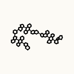 c1cc(-c2ccc3c(-c4c5ccccc5c(-c5ccc6cc(-c7ccc8cc(-c9c%10ccccc%10c(-c%10cccc%11c%10oc%10ccccc%10%11)c%10ccccc9%10)c9ccccc9c8c7)ccc6c5)c5ccccc45)cccc3c2)cc(-c2cc(-c3c4ccccc4c(-c4ccc5ccccc5c4)c4ccccc34)c3ccccc3c2)c1